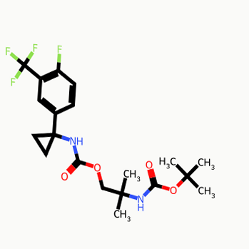 CC(C)(COC(=O)NC1(c2ccc(F)c(C(F)(F)F)c2)CC1)NC(=O)OC(C)(C)C